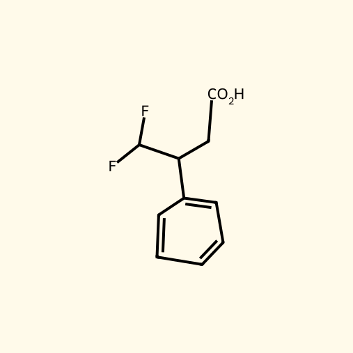 O=C(O)CC(c1ccccc1)C(F)F